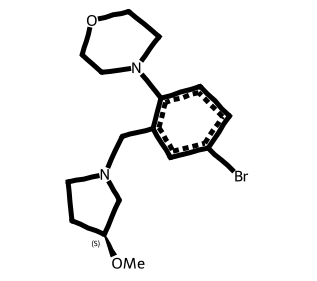 CO[C@H]1CCN(Cc2cc(Br)ccc2N2CCOCC2)C1